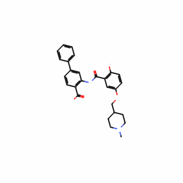 CN1CCC(COc2ccc(O)c(C(=O)Nc3cc(-c4ccccc4)ccc3C(=O)O)c2)CC1